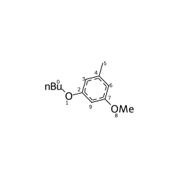 CCCCOc1cc(C)cc(OC)c1